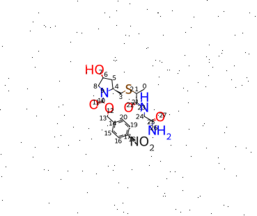 CC(SC[C@@H]1C[C@H](O)CN1C(=O)OCc1ccc([N+](=O)[O-])cc1)C(=O)NCC(N)=O